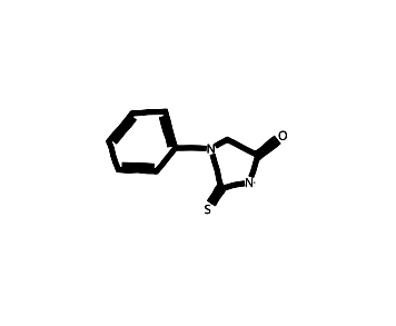 O=C1CN(c2ccccc2)C(=S)[N]1